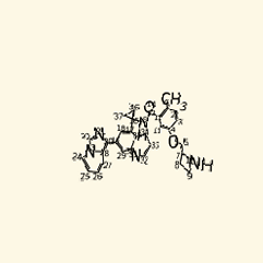 Cc1ccc(OC[C@@H]2CCN2)cc1C(=O)NC1(c2cc(-c3ncn4ccccc34)cc3ncccc23)CC1